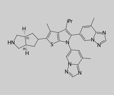 Cc1c(C2C[C@H]3CNC[C@H]3C2)sc2c1c(C(C)C)c(-c1cc(C)c3ncnn3c1)n2-c1cc(C)c2ncnn2c1